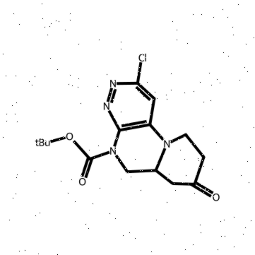 CC(C)(C)OC(=O)N1CC2CC(=O)CCN2c2cc(Cl)nnc21